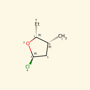 CC[C@H]1O[C@H](Cl)C[C@H]1C